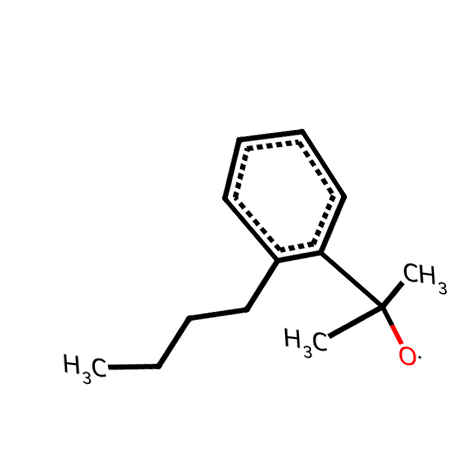 CCCCc1ccccc1C(C)(C)[O]